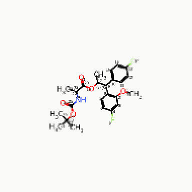 COc1cc(F)ccc1[C@H](c1ccc(F)cc1)[C@H](C)OC(=O)[C@H](C)NC(=O)OC(C)(C)C